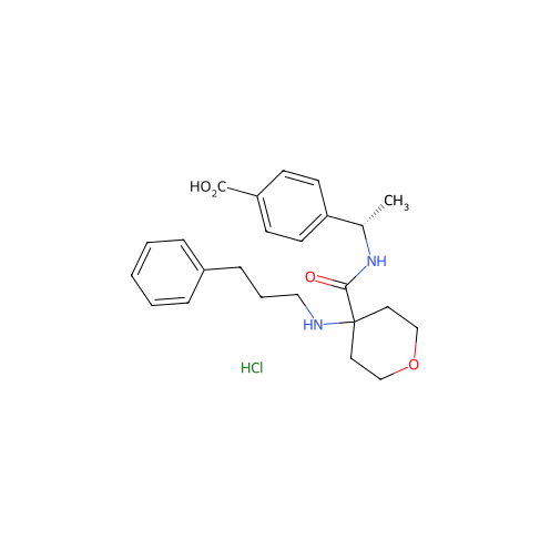 C[C@H](NC(=O)C1(NCCCc2ccccc2)CCOCC1)c1ccc(C(=O)O)cc1.Cl